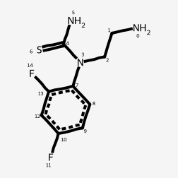 NCCN(C(N)=S)c1ccc(F)cc1F